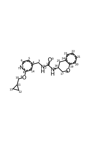 O=C(NCc1ccnc(OCC2CC2)c1)NC1COc2ccccc2C1